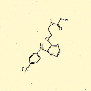 C=CC(=O)N(C)CCOc1nccnc1Nc1ccc(C(F)(F)F)cc1